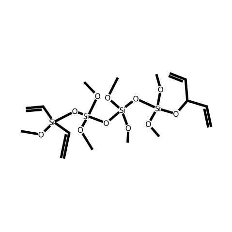 C=CC(C=C)O[Si](OC)(OC)O[Si](OC)(OC)O[Si](OC)(OC)O[Si](C=C)(C=C)OC